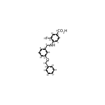 O=C(O)c1ccc(NCc2cccc(OCc3ccccc3)c2)c(F)c1